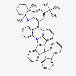 CC(C)(C)c1cc2c3c(c1)C1(C)CCCCC1(C)N3c1cccc3c1B2c1cccc2c4c(n-3c12)-c1ccccc1C41c2ccccc2-c2ccccc21